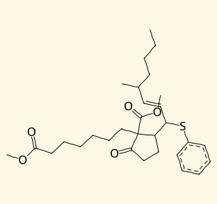 CCCCC(C)/C=C/C(Sc1ccccc1)C1CCC(=O)C1(CCCCCCC(=O)OC)C(=O)OC